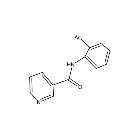 CC(=O)c1ccccc1NC(=O)c1cccnc1